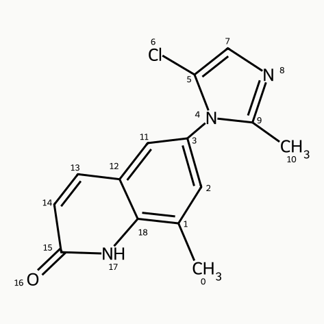 Cc1cc(-n2c(Cl)cnc2C)cc2ccc(=O)[nH]c12